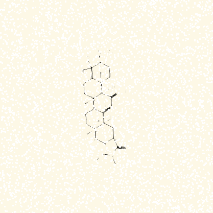 CCON(C)C(=O)[C@@]1(C)CC[C@]2(C)CC[C@]3(C)C(=CC(=O)[C@@H]4[C@@]5(C)CC[C@H](NC(C)=O)C(C)(C)C5CC[C@]43C)[C@@H]2C1